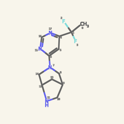 CC(F)(F)c1cc(N2CC3CNC(C3)C2)ncn1